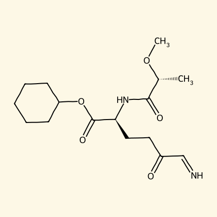 CO[C@H](C)C(=O)N[C@@H](CCC(=O)C=N)C(=O)OC1CCCCC1